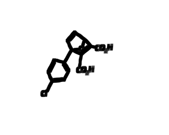 O=C(O)C1=C(C(=O)O)C2(c3ccc(Cl)cc3)C=CC1O2